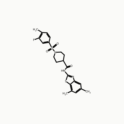 Cc1cc(C)c2sc(NC(=O)C3CCN(S(=O)(=O)c4ccc(C)c(F)c4)CC3)nc2c1